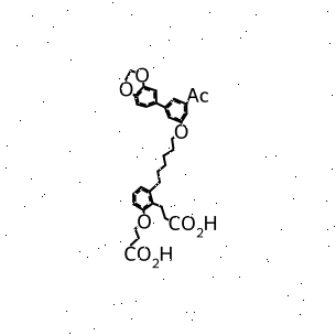 CC(=O)c1cc(OCCCCCCc2cccc(OCCCC(=O)O)c2CCC(=O)O)cc(-c2ccc3c(c2)OCCO3)c1